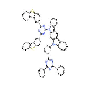 c1ccc(-c2nc(-c3ccccc3)nc(-c3cccc(-n4c5ccccc5c5cc6c7ccccc7n(-c7nc(-c8ccc9sc%10ccccc%10c9c8)nc(-c8ccc9sc%10ccccc%10c9c8)n7)c6cc54)c3)n2)cc1